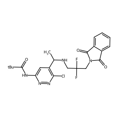 CC(NCC(F)(F)CN1C(=O)c2ccccc2C1=O)c1cc(NC(=O)C(C)(C)C)nnc1Cl